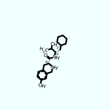 CC(C)[C@H](CC1CCCCC1)NC(=O)[C@H]1Cc2ccc(O)cc2CN1